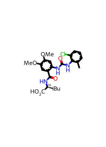 CCC(C)[C@H](NC(=O)c1cc(OC)c(OC)cc1NC(=O)Nc1c(C)cccc1Cl)C(=O)O